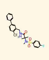 CN(C(C)(C)C(=O)NCc1cc(-c2ccccc2)ccc1C(F)(F)F)S(=O)(=O)c1ccc(F)cc1